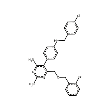 Nc1nc(N)c(-c2ccc(NCc3ccc(Cl)cc3)cc2)c(COCc2ccccc2Br)n1